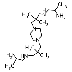 CC(N)CNCC(C)(C)CN1CCN(CC(C)(C)CNCC(C)N)CC1